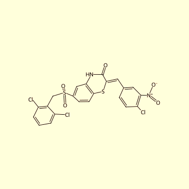 O=C1Nc2cc(S(=O)(=O)Cc3c(Cl)cccc3Cl)ccc2SC1=Cc1ccc(Cl)c([N+](=O)[O-])c1